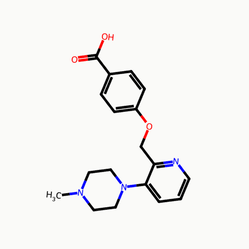 CN1CCN(c2cccnc2COc2ccc(C(=O)O)cc2)CC1